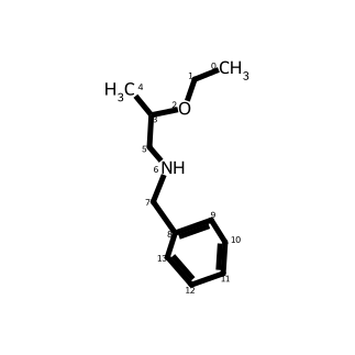 CCOC(C)CNCc1ccccc1